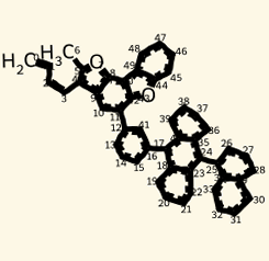 C=C/C=C\c1c(C)oc2c1cc(-c1cccc(-c3c4ccccc4c(-c4cccc5ccccc45)c4ccccc34)c1)c1oc3ccccc3c12